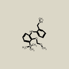 CNCc1ccccc1Pc1cccc([Si](C)(C)C)c1OCOC